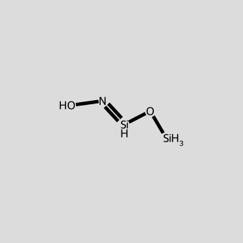 ON=[SiH]O[SiH3]